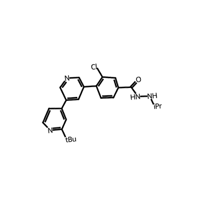 CC(C)NNC(=O)c1ccc(-c2cncc(-c3ccnc(C(C)(C)C)c3)c2)c(Cl)c1